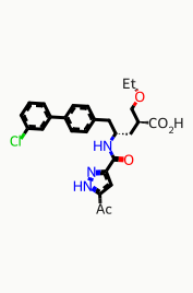 CCOC[C@H](C[C@@H](Cc1ccc(-c2cccc(Cl)c2)cc1)NC(=O)c1cc(C(C)=O)[nH]n1)C(=O)O